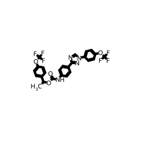 CC(OC(=O)Nc1ccc(-c2ncn(-c3ccc(OC(F)(F)F)cc3)n2)cc1)c1ccc(OC(F)(F)F)cc1